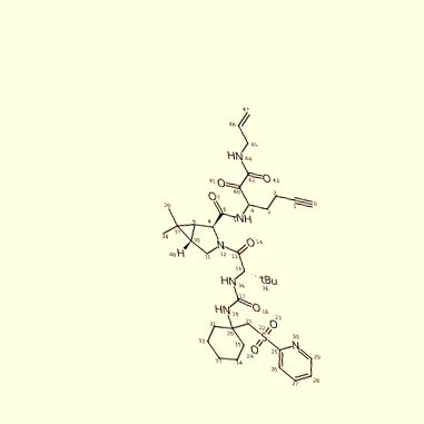 C#CCCC(NC(=O)[C@@H]1C2[C@H](CN1C(=O)[C@@H](NC(=O)NC1(CS(=O)(=O)c3ccccn3)CCCCC1)C(C)(C)C)C2(C)C)C(=O)C(=O)NCC=C